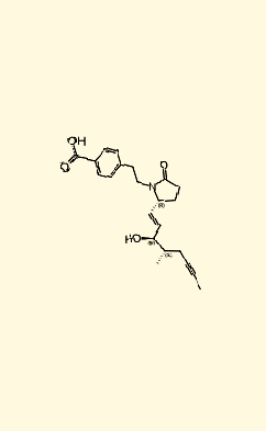 CC#CC[C@H](C)[C@@H](O)C=C[C@H]1CCC(=O)N1CCc1ccc(C(=O)O)cc1